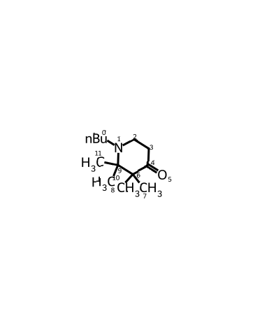 CCCCN1CCC(=O)C(C)(C)C1(C)C